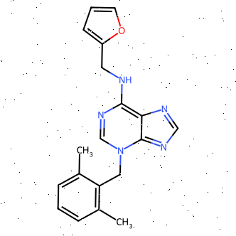 Cc1cccc(C)c1Cn1cnc(NCc2ccco2)c2ncnc1-2